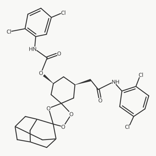 O=C(C[C@@H]1C[C@H](OC(=O)Nc2cc(Cl)ccc2Cl)CC2(C1)OOC1(O2)C2CC3CC(C2)CC1C3)Nc1cc(Cl)ccc1Cl